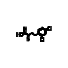 ONC(=S)CCc1ccc(Cl)cc1Cl